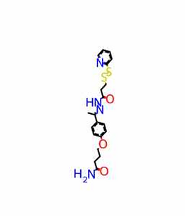 C/C(=N\NC(=O)CCSSc1ccccn1)c1ccc(OCCCC(N)=O)cc1